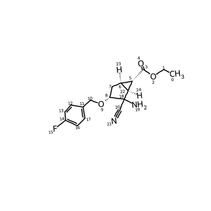 CCOC(=O)[C@H]1[C@@H]2C[C@@H](OCc3ccc(F)cc3)C(N)(C#N)[C@@H]21